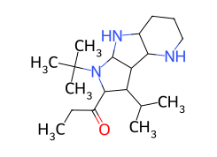 CCC(=O)C1C(C(C)C)C2C3NCCCC3NC2N1C(C)(C)C